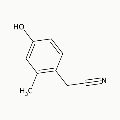 Cc1cc(O)ccc1CC#N